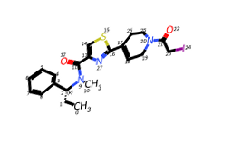 CC[C@H](c1ccccc1)N(C)C(=O)c1csc(C2=CCN(C(=O)CI)CC2)n1